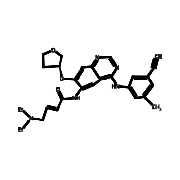 C#Cc1cc(C)cc(Nc2ncnc3cc(O[C@H]4CCOC4)c(NC(=O)/C=C/CN(CC)CC)cc23)c1